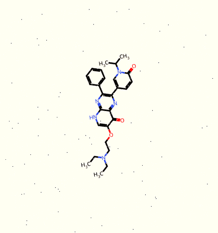 CCN(CC)CCOc1c[nH]c2nc(-c3ccccc3)c(-c3ccc(=O)n(C(C)C)c3)nc2c1=O